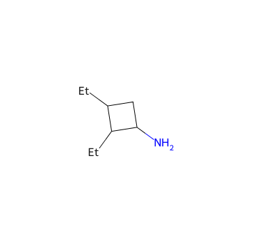 CCC1CC(N)C1CC